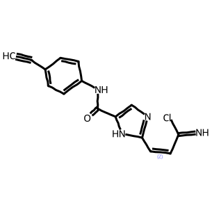 C#Cc1ccc(NC(=O)c2cnc(/C=C\C(=N)Cl)[nH]2)cc1